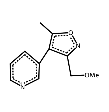 COCc1noc(C)c1-c1cccnc1